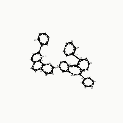 c1ccc(-c2ccc3ccc4ccc(-c5ccc6c(c5)nc(-c5ccncc5)c5cccc(-c7ccccc7)c56)nc4c3n2)cc1